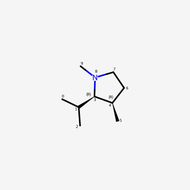 CC(C)[C@@H]1[C@H](C)CCN1C